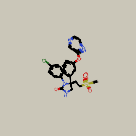 CS(=O)(=O)CCC1(c2cccc(Oc3cnccn3)c2)CNC(=O)N1c1ccc(Cl)cc1